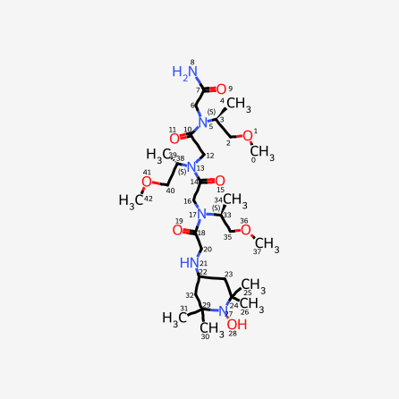 COC[C@H](C)N(CC(N)=O)C(=O)CN(C(=O)CN(C(=O)CNC1CC(C)(C)N(O)C(C)(C)C1)[C@@H](C)COC)[C@@H](C)COC